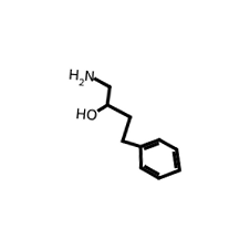 NCC(O)CCc1ccccc1